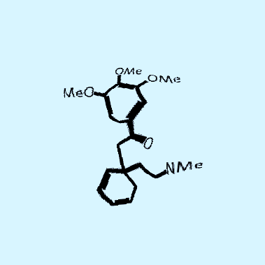 CNCCC1(CC(=O)c2cc(OC)c(OC)c(OC)c2)C=CC=CC1